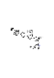 Cc1cc(-c2ccc(-c3noc(C(C)C)n3)cc2)cnc1C1C=[N+]([O-])N(C/C(=C/F)CN)N1.Cl